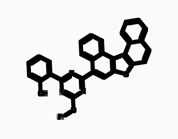 CC(C)Oc1nc(-c2ccccc2O)nc(-c2cc3oc4ccc5ccccc5c4c3c3ccccc23)n1